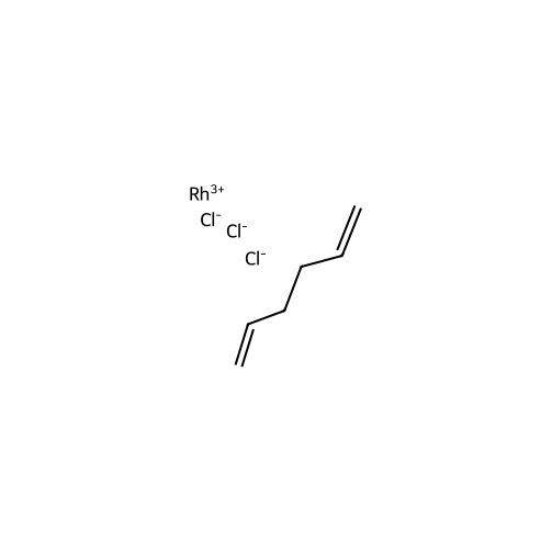 C=CCCC=C.[Cl-].[Cl-].[Cl-].[Rh+3]